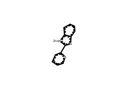 [Zn].c1ccc(-c2nc3ccccc3[nH]2)nc1